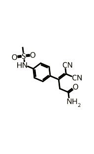 CS(=O)(=O)Nc1ccc(C(CC(N)=O)=C(C#N)C#N)cc1